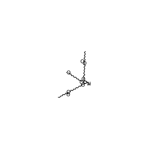 CCCCCCCC(=O)OCCCCCCCCCCOc1cc(CN(C)C)cc(OCCCCCCCCCCOC(=O)CCCCCCC)c1OCCCCCCCCCCOC